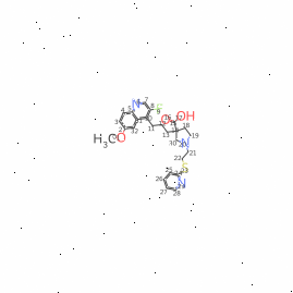 COc1ccc2ncc(F)c(CCCC3(C(=O)O)CCN(CCSc4ccccn4)C3)c2c1